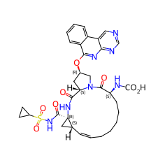 O=C(O)N[C@H]1CCCCCC=C[C@@H]2C[C@@]2(C(=O)NS(=O)(=O)C2CC2)NC(=O)[C@@H]2C[C@@H](Oc3nc4ncncc4c4ccccc34)CN2C1=O